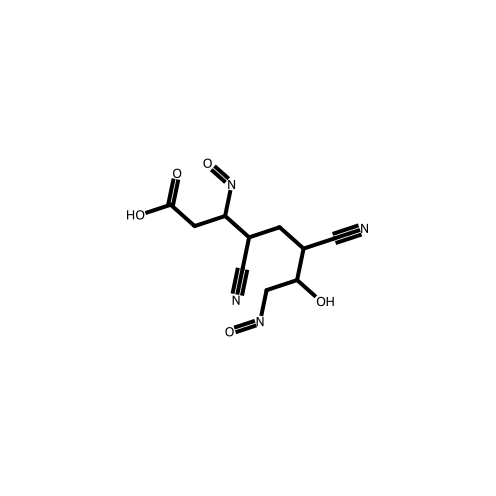 N#CC(CC(C#N)C(CC(=O)O)N=O)C(O)CN=O